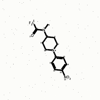 CN(C(=O)C(F)(F)F)C1CCN(c2ccc([N+](=O)[O-])cc2)CC1